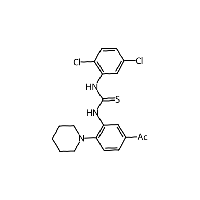 CC(=O)c1ccc(N2CCCCC2)c(NC(=S)Nc2cc(Cl)ccc2Cl)c1